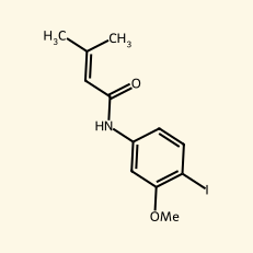 COc1cc(NC(=O)C=C(C)C)ccc1I